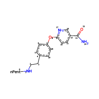 CCCCCNCCc1ccc(Oc2ccc(C(N)=O)cn2)cc1